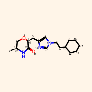 C[C@H]1CO[C@@H](Cc2cn(CCC3CCCCC3)cn2)C(=O)N1